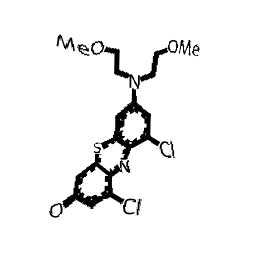 COCCN(CCOC)c1cc(Cl)c2nc3c(Cl)cc(=O)cc-3sc2c1